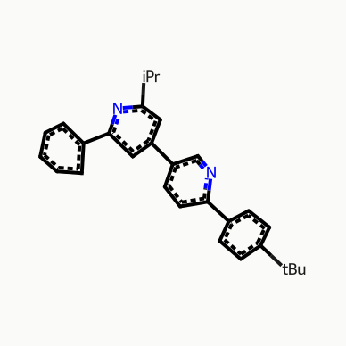 CC(C)c1cc(-c2ccc(-c3ccc(C(C)(C)C)cc3)nc2)cc(-c2ccccc2)n1